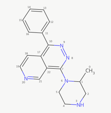 CC1CNCCN1c1nnc(-c2ccccc2)c2ccncc12